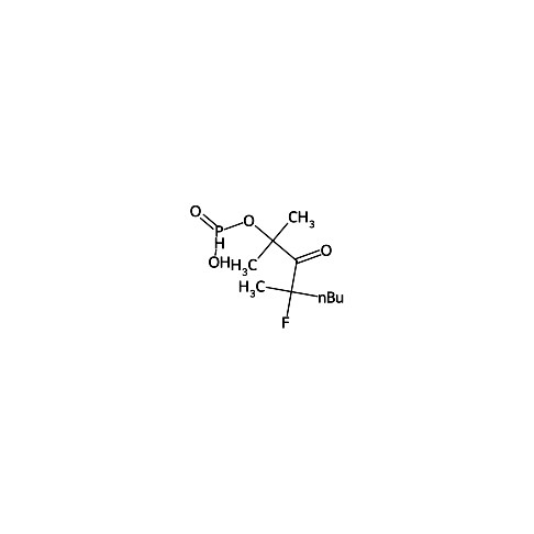 CCCCC(C)(F)C(=O)C(C)(C)O[PH](=O)O